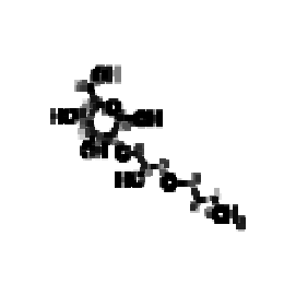 CCCCOCC(O)CO[C@@H]1[C@@H](O)[C@H](O)[C@@H](CO)O[C@H]1O